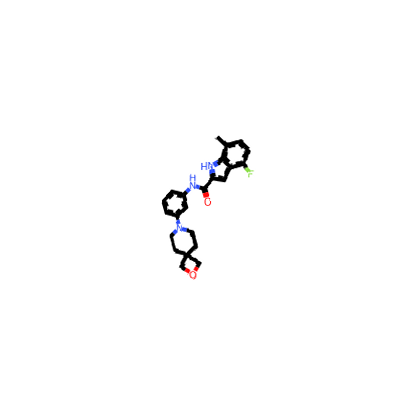 Cc1ccc(F)c2cc(C(=O)Nc3cccc(N4CCC5(CC4)COC5)c3)[nH]c12